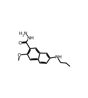 CCCNc1ccc2cc(OC)c(C(=O)NN)cc2c1